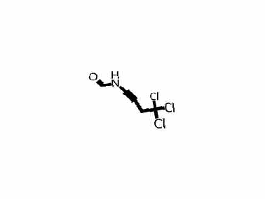 O=CNC#CCC(Cl)(Cl)Cl